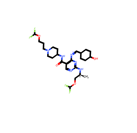 C[C@@H](COC(F)F)Nc1ncc(C(=O)NC2CCN(CCCOC(F)F)CC2)c(/N=C\C2CCC(O)CC2)n1